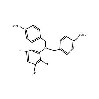 COc1ccc(CN(Cc2ccc(OC)cc2)c2nc(C)cc(Br)c2F)cc1